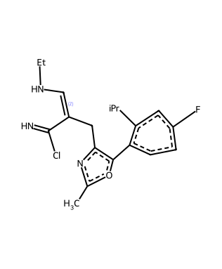 CCN/C=C(/Cc1nc(C)oc1-c1ccc(F)cc1C(C)C)C(=N)Cl